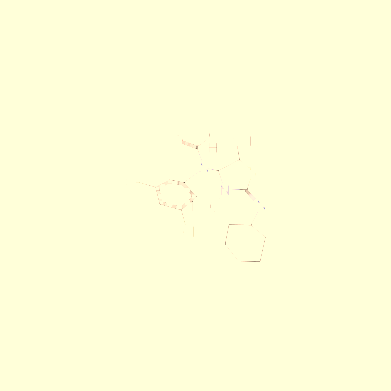 CC(=O)N(c1cc(Cl)cc(Cl)c1)C1C(C)SC(=NC2CCCCC2)N1C